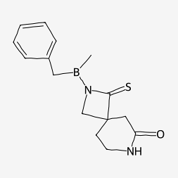 CB(Cc1ccccc1)N1CC2(CCNC(=O)C2)C1=S